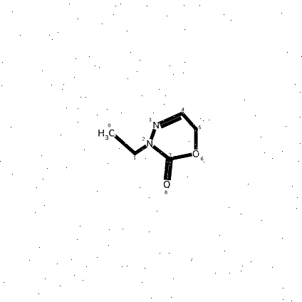 CCN1N=CCOC1=O